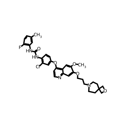 COc1cc2c(Oc3ccc(NC(=O)Nc4cc(C)ccc4F)c(Cl)c3)ccnc2cc1OCCCN1CCC2(CC1)COC2